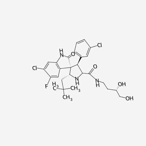 CC(C)(C)C[C@H]1NC(C(=O)NCC[C@H](O)CO)[C@H](c2cccc(Cl)c2)[C@@]12C(=O)Nc1cc(Cl)c(F)cc12